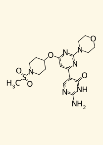 CS(=O)(=O)N1CCC(Oc2cc(-c3cnc(N)[nH]c3=O)nc(N3CCOCC3)n2)CC1